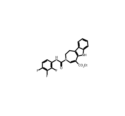 CCOC(=O)C1=CN(C(=O)Nc2ccc(F)c(F)c2F)CCc2c1[nH]c1ccccc21